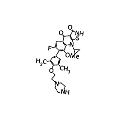 COc1c(-c2cc(C)c(OCCN3CCNCC3)c(C)c2)c(F)cc2c(=O)c3c(=O)[nH]sc3n(C3CC3)c12